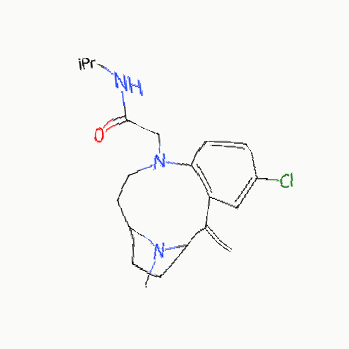 C=C1c2cc(Cl)ccc2N(CC(=O)NC(C)C)CCC2CCC1N2C